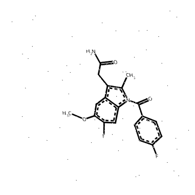 COc1cc2c(CC(N)=O)c(C)n(C(=O)c3ccc(F)cc3)c2cc1F